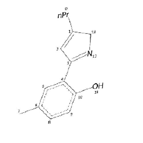 CCCC1=CC(c2cc(C)ccc2O)=NC1